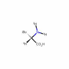 [2H]N([2H])[C@]([2H])(C(=O)O)[C@@H](C)CC